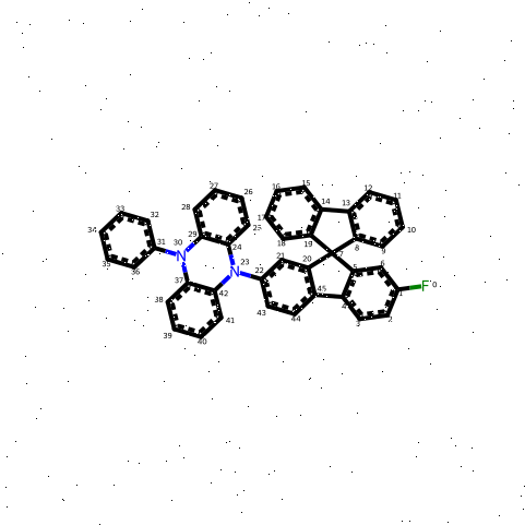 Fc1ccc2c(c1)C1(c3ccccc3-c3ccccc31)c1cc(N3c4ccccc4N(c4ccccc4)c4ccccc43)ccc1-2